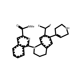 CNC(=O)c1cc2ccccc2c(N2CCCc3cc(C4=CCNCC4)c(C(F)F)cc32)n1